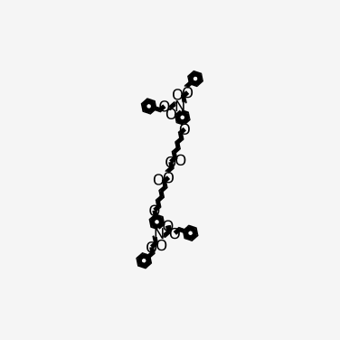 O=C(CCCCCOc1ccc(N(CC(=O)OCc2ccccc2)CC(=O)OCc2ccccc2)cc1)OCCOC(=O)CCCCCOc1ccc(N(CC(=O)OCc2ccccc2)CC(=O)OCc2ccccc2)cc1